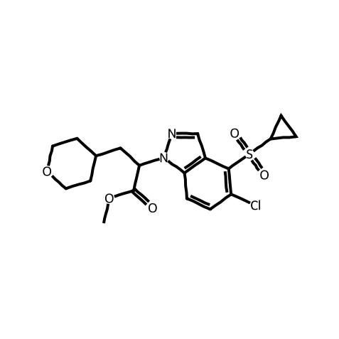 COC(=O)C(CC1CCOCC1)n1ncc2c(S(=O)(=O)C3CC3)c(Cl)ccc21